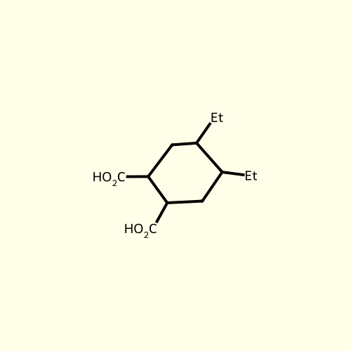 CCC1CC(C(=O)O)C(C(=O)O)CC1CC